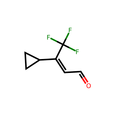 O=CC=C(C1CC1)C(F)(F)F